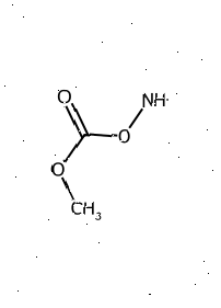 COC(=O)O[NH]